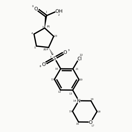 O=C(O)[C@@H]1CC[C@@H](S(=O)(=O)c2ccc(N3CCOCC3)cc2Cl)C1